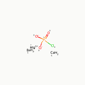 O=P([O-])([O-])Cl.[BaH2].[CaH2].[Mg+2]